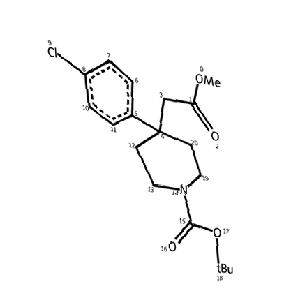 COC(=O)CC1(c2ccc(Cl)cc2)CCN(C(=O)OC(C)(C)C)CC1